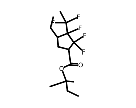 CCC1CC(C(=O)OC(C)(C)CC)C(F)(F)C1(F)C(C)(F)F